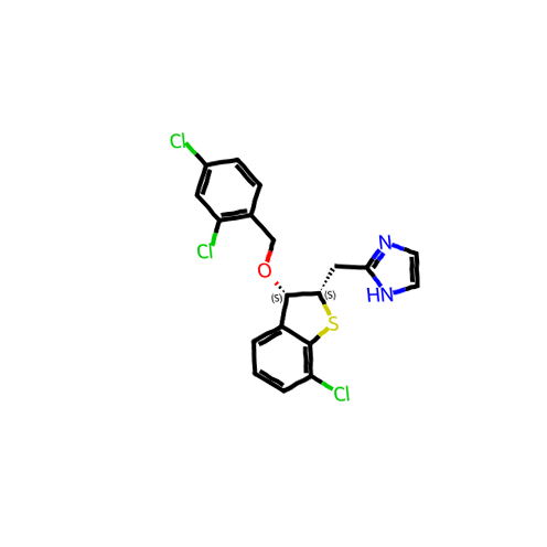 Clc1ccc(CO[C@H]2c3cccc(Cl)c3S[C@H]2Cc2ncc[nH]2)c(Cl)c1